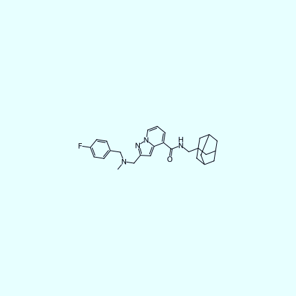 CN(Cc1ccc(F)cc1)Cc1cc2c(C(=O)NCC34CC5CC(CC(C5)C3)C4)cccn2n1